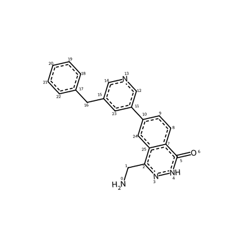 NCc1n[nH]c(=O)c2ccc(-c3cncc(Cc4ccccc4)c3)cc12